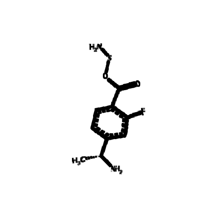 C[C@@H](N)c1ccc(C(=O)OSN)c(F)c1